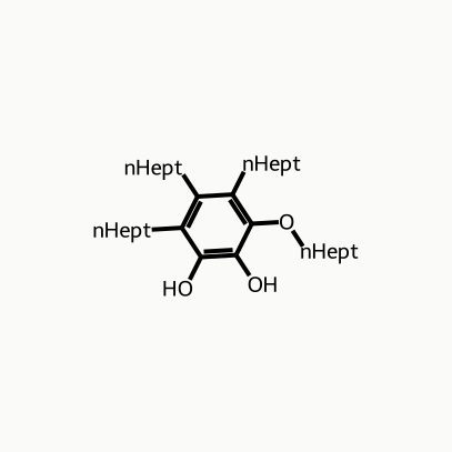 CCCCCCCOc1c(O)c(O)c(CCCCCCC)c(CCCCCCC)c1CCCCCCC